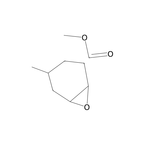 CC1CCC2OC2C1.COC=O